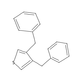 c1ccc(Cc2cscc2Cc2ccccc2)cc1